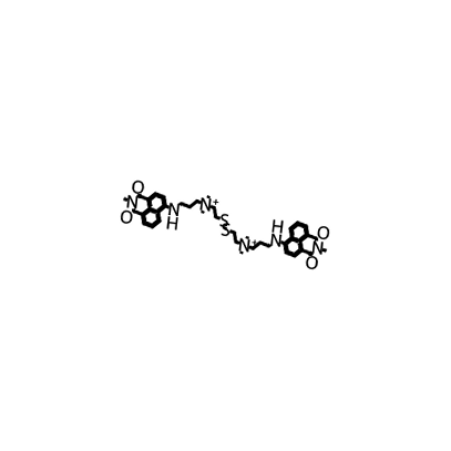 CN1C(=O)c2cccc3c(NCCC[N+](C)(C)CCSSCC[N+](C)(C)CCCNc4ccc5c6c(cccc46)C(=O)N(C)C5=O)ccc(c23)C1=O